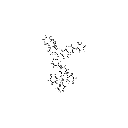 c1ccc(-c2ccc3cc(N(c4cccc(-c5ccc6c(c5)c(-c5ccccc5)c(-c5ccccc5)c5ccccc56)c4)c4ccc5c(c4)oc4ccccc45)ccc3c2)cc1